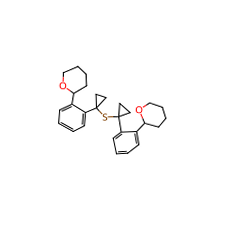 c1ccc(C2(SC3(c4ccccc4C4CCCCO4)CC3)CC2)c(C2CCCCO2)c1